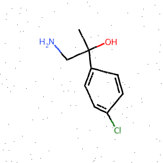 CC(O)(CN)c1ccc(Cl)cc1